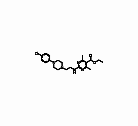 CCOC(=O)c1c(C)nc(NCCN2CCN(c3ccc(Cl)cc3)CC2)nc1C